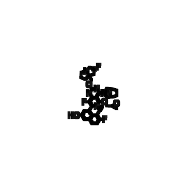 C#Cc1c(F)ccc2cc(O)cc(-c3nc(OCC4CO4)c4c(N5CC6CCC(C5)N6)nc(OC[C@@]56CCCN5C[C@H](F)C6)nc4c3F)c12